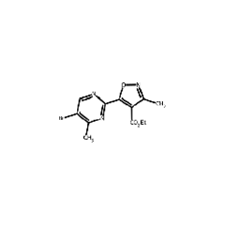 CCOC(=O)c1c(C)noc1-c1ncc(Br)c(C)n1